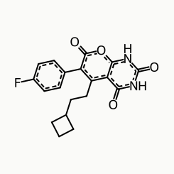 O=c1[nH]c(=O)c2c(CCC3CCC3)c(-c3ccc(F)cc3)c(=O)oc2[nH]1